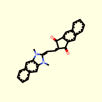 CN1C(=CC=C2C(=O)c3cc4ccccc4cc3C2=O)N(C)c2cc3ccccc3cc21